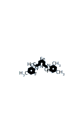 CC(=Nc1c(C)cc(C)cc1F)c1cccc(C(C)=Nc2c(C)cc(C)cc2F)n1.[Fe]